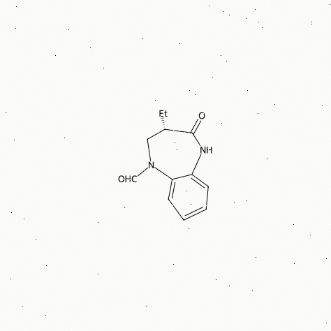 CC[C@H]1CN(C=O)c2ccccc2NC1=O